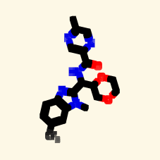 Cc1cnc(C(=O)NC(c2nc3ccc(C(F)(F)F)cc3n2C)C2COCCO2)cn1